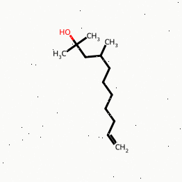 C=CCCCCCC(C)CC(C)(C)O